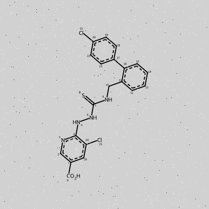 O=C(O)c1cnc(NNC(=S)NCc2ccccc2-c2ccc(Cl)cc2)c(Cl)c1